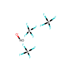 F[B-](F)(F)F.F[B-](F)(F)F.F[B-](F)(F)F.O=[NH+][O-]